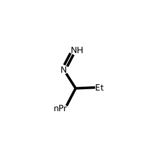 CCCC(CC)N=N